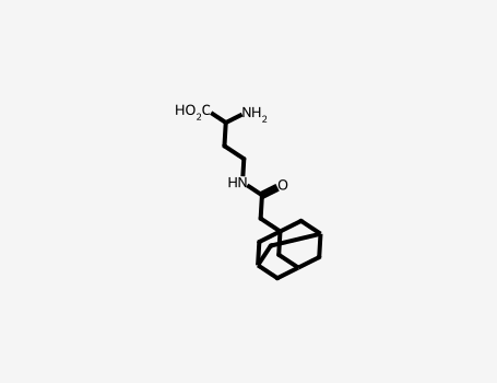 NC(CCNC(=O)CC12CC3CC(CC(C3)C1)C2)C(=O)O